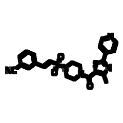 Cc1nc(-c2ccncc2)sc1C(=O)N1CCN(S(=O)(=O)C=Cc2cccc(C#N)c2)CC1